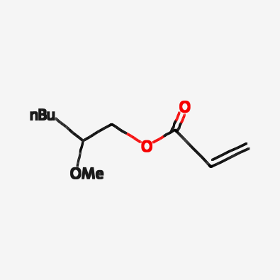 C=CC(=O)OCC(CCCC)OC